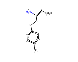 N/C(=C/C(=O)O)CCc1ccc(C(F)(F)F)cc1